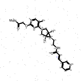 CNC(=O)COc1ncc(F)c(N2C[C@@H]3[C@@H](CCNC(=O)/C=C/c4cccnc4)[C@@H]3C2)n1